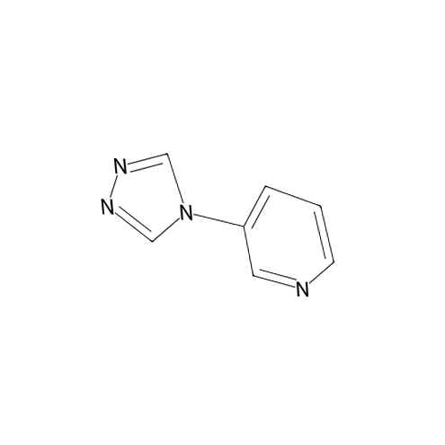 c1cncc(-n2cnnc2)c1